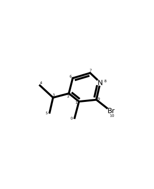 Cc1c(C(C)C)ccnc1Br